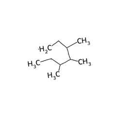 [CH2]CC(C)C(C)C(C)CC